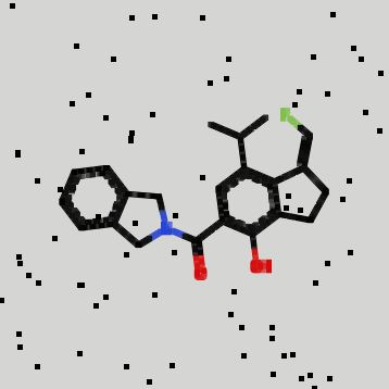 CC(C)c1cc(C(=O)N2Cc3ccccc3C2)c(O)c2c1/C(=C\F)CC2